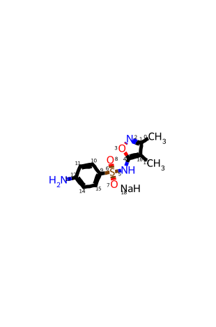 Cc1noc(NS(=O)(=O)c2ccc(N)cc2)c1C.[NaH]